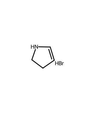 Br.C1=CNCC1